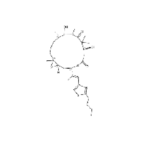 CCSCc1nc(C=C(C)[C@@H]2C[C@@H]3O[C@]3(C)CCC[C@H](C)C(O)C(C)C(=O)C(C)(C)[C@@H](O)CC(=O)O2)cs1